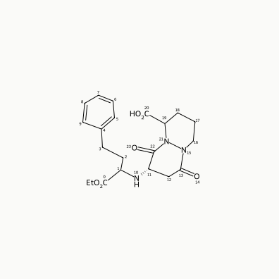 CCOC(=O)C(CCc1ccccc1)N[C@H]1CC(=O)N2CCCC(C(=O)O)N2C1=O